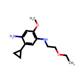 CCOCCNc1cc(C2CC2)c(N)cc1OC